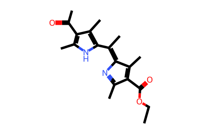 CCOC(=O)C1=C(C)/C(=C(\C)c2[nH]c(C)c(C(C)=O)c2C)N=C1C